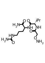 CC(C)[C@H](NC(=O)CON)C(=O)NC(CCCNC(N)=O)C(N)=O